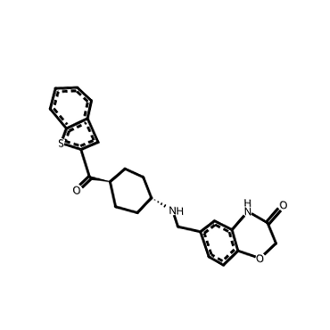 O=C1COc2ccc(CN[C@H]3CC[C@H](C(=O)c4cc5ccccc5s4)CC3)cc2N1